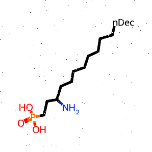 CCCCCCCCCCCCCCCCCCC(N)CCP(=O)(O)O